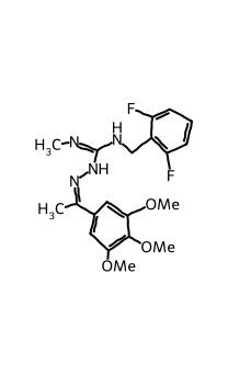 CN=C(NCc1c(F)cccc1F)NN=C(C)c1cc(OC)c(OC)c(OC)c1